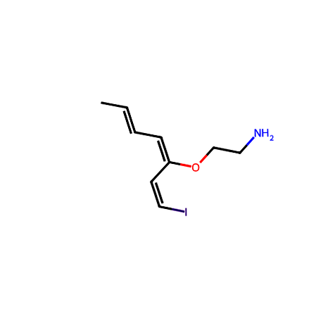 C/C=C/C=C(\C=C/I)OCCN